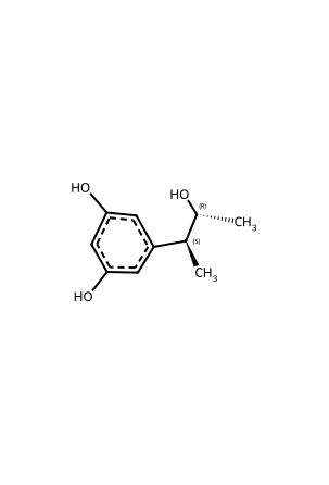 C[C@@H](O)[C@@H](C)c1cc(O)cc(O)c1